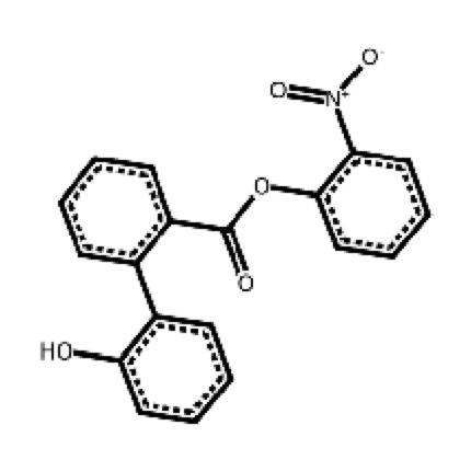 O=C(Oc1ccccc1[N+](=O)[O-])c1ccccc1-c1ccccc1O